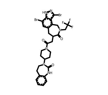 O=C(CC1Cc2cc(Br)c3[nH]nc(Br)c3c2CN(CC(F)(F)F)C1=O)N1CCC(N2CCc3ccccc3NC2=O)CC1